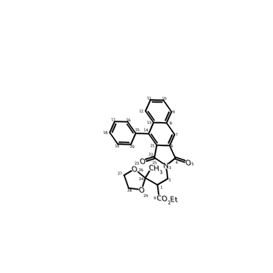 CCOC(=O)C(CN1C(=O)c2cc3ccccc3c(-c3ccccc3)c2C1=O)C1(C)OCCO1